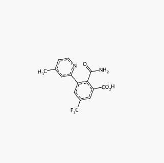 Cc1ccnc(-c2cc(C(F)(F)F)cc(C(=O)O)c2C(N)=O)c1